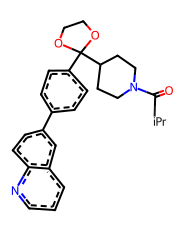 CC(C)C(=O)N1CCC(C2(c3ccc(-c4ccc5ncccc5c4)cc3)OCCO2)CC1